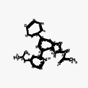 CC(=O)Nc1nc2cc(C3=CCC=CN=C3)cc(-c3cc(CN(C)C)ccn3)c2[nH]1